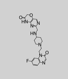 O=C1COc2cnc(CNC3CCN(CCn4c(=O)cnc5ccc(F)cc54)CC3)nc2N1